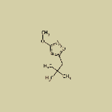 COc1cc(CC(C)(C)C)on1